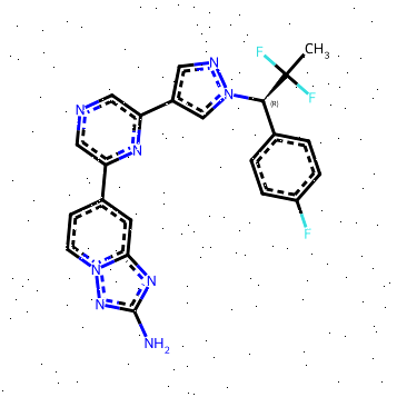 CC(F)(F)[C@@H](c1ccc(F)cc1)n1cc(-c2cncc(-c3ccn4nc(N)nc4c3)n2)cn1